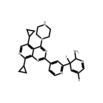 NC1N=CC(F)=CC1(F)c1cc(-c2nc(N3CCNCC3)c3c(C4CC4)cnc(C4CC4)c3n2)ccn1